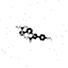 Cc1ccc(-c2cc(C(N)=O)n(-c3cccc(-c4nncn4C(C)C)n3)c2)cc1